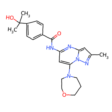 Cc1cc2nc(NC(=O)c3ccc(C(C)(C)O)cc3)cc(N3CCCOCC3)n2n1